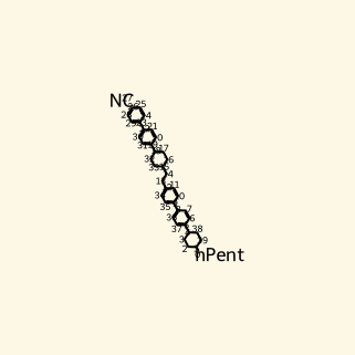 CCCCCC1CCC(c2ccc(-c3ccc(CCC4CCC(c5ccc(-c6ccc(C#N)cc6)cc5)CC4)cc3)cc2)CC1